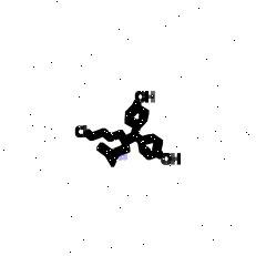 C=C1C/C1=C/C(CCCCCl)=C(c1ccc(O)cc1)c1ccc(O)cc1